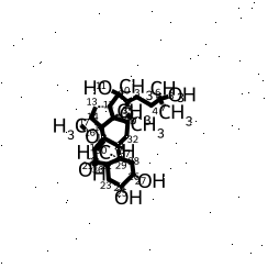 COC(CCC(C)(C)O)[C@](C)(O)[C@H]1CC[C@@]2(OC)C3=CC(=O)[C@@H]4C[C@@H](O)[C@@H](O)C[C@]4(C)[C@H]3CC[C@]12C